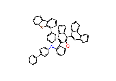 c1ccc(-c2ccc(N(c3ccc(-c4cccc5c4sc4ccccc45)cc3)c3cccc4oc5c(-c6cc7ccccc7c7ccccc67)c6ccccc6cc5c34)cc2)cc1